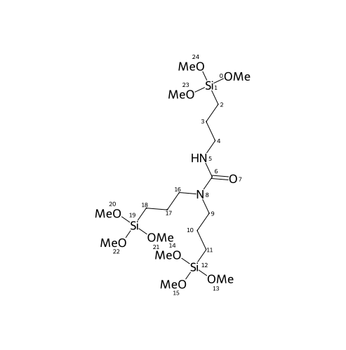 CO[Si](CCCNC(=O)N(CCC[Si](OC)(OC)OC)CCC[Si](OC)(OC)OC)(OC)OC